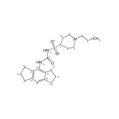 CCCN1CCC(S(=O)(=O)NC(=O)Nc2c3c(cc4c2CCC4)CCC3)CC1